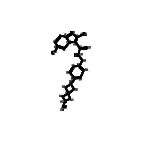 CCc1nc2ccc(Cl)cn2c1C(=O)NCc1ccc(N2CC3(CN(C(C)=O)C3)C2)cc1